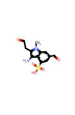 Cn1c(CC=O)c(N)c2c(S(=O)(=O)O)cc(C=O)cc21